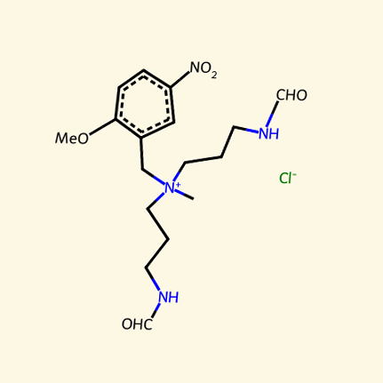 COc1ccc([N+](=O)[O-])cc1C[N+](C)(CCCNC=O)CCCNC=O.[Cl-]